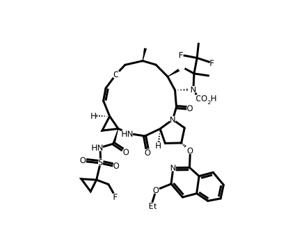 CCOc1cc2ccccc2c(O[C@@H]2C[C@H]3C(=O)N[C@]4(C(=O)NS(=O)(=O)C5(CF)CC5)C[C@H]4C=CCC[C@@H](C)C[C@@H](C)[C@H](N(C(=O)O)C(C)(C)C(C)(F)F)C(=O)N3C2)n1